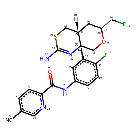 N#Cc1ccc(C(=O)Nc2ccc(F)c([C@]34CO[C@@H](CF)C[C@H]3CSC(N)=N4)c2)nc1